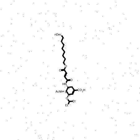 CCCCCCCCCCCCCCCCCCOC(=O)/C=C/C(=O)N[C@@H]1CC(C(=O)O)=C[C@@H](OC(CC)CC)[C@@H]1NC(C)=O